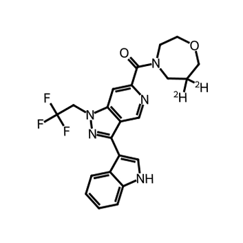 [2H]C1([2H])COCCN(C(=O)c2cc3c(cn2)c(-c2c[nH]c4ccccc24)nn3CC(F)(F)F)C1